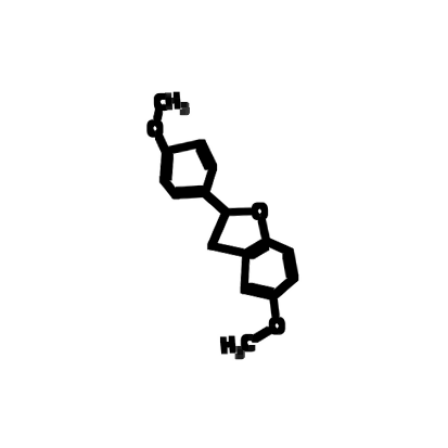 COc1ccc(C2Cc3cc(OC)ccc3O2)cc1